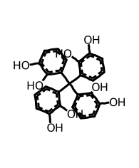 Oc1cccc(C(c2cccc(O)c2O)(c2cccc(O)c2O)c2cccc(O)c2O)c1O